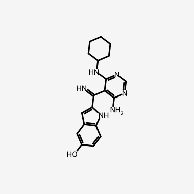 N=C(c1cc2cc(O)ccc2[nH]1)c1c(N)ncnc1NC1CCCCC1